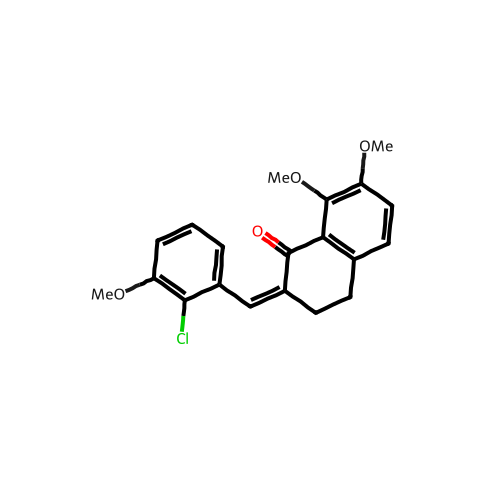 COc1cccc(C=C2CCc3ccc(OC)c(OC)c3C2=O)c1Cl